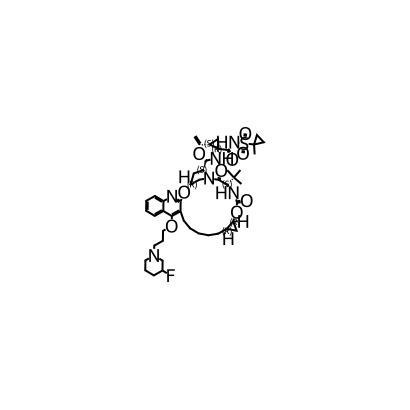 C=C[C@@H]1C[C@]1(NC(=O)[C@@H]1C[C@@H]2CN1C(=O)[C@H](C(C)(C)C)NC(=O)O[C@@H]1C[C@H]1CCCCCc1c(nc3ccccc3c1OCCCN1CCCC(F)C1)O2)C(=O)NS(=O)(=O)C1(C)CC1